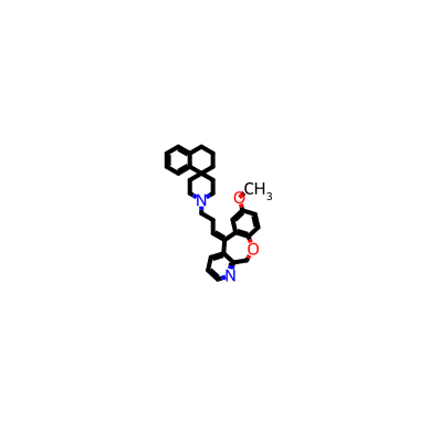 COc1ccc2c(c1)C(=CCCN1CCC3(CCCc4ccccc43)CC1)c1cccnc1CO2